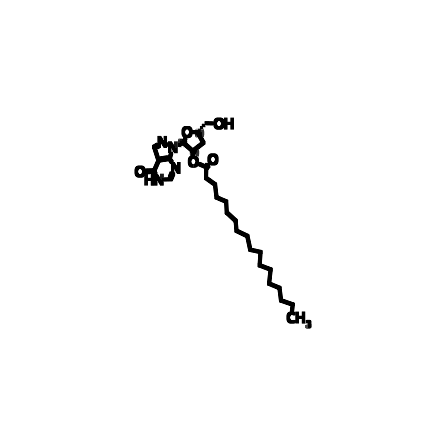 CCCCCCCCCCCCCCCCCC(=O)O[C@@H]1C[C@@H](CO)O[C@H]1n1ncc2c(=O)[nH]cnc21